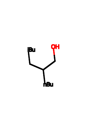 CCCCC(CO)CC(C)CC